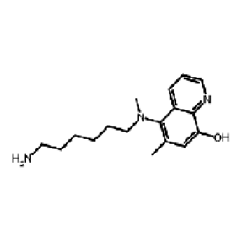 Cc1cc(O)c2ncccc2c1N(C)CCCCCCN